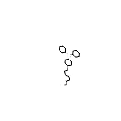 O=Cc1cc2sc(-c3ccc(N(c4ccccc4)c4ccccc4)cc3)cc2s1